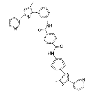 Cc1sc(-c2cccnc2)nc1-c1ccc(NC(=O)c2ccc(C(=O)Nc3cccc(-c4nc(-c5cccnc5)sc4C)c3)cc2)cc1